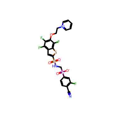 N#Cc1ccc(P(=O)([O-])CNS(=O)(=O)c2cc3c(F)c(F)c(OCC[n+]4ccccc4)c(F)c3s2)cc1F